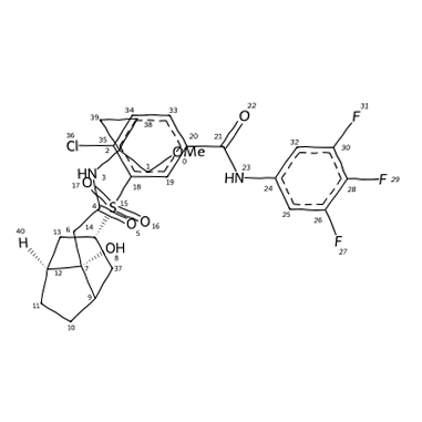 COCC1(NC(=O)C[C@@]2(O)C3CC[C@H]2C[C@H](S(=O)(=O)c2cc(C(=O)Nc4cc(F)c(F)c(F)c4)ccc2Cl)C3)CC1